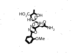 COc1ccccc1-c1nnc([C@H](CC(N)=O)NS(=O)(=O)N[C@H](C(=O)O)C(C)O)o1